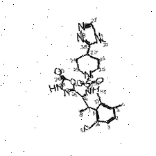 Cc1ccc(F)c([C@@H](C)[C@H](NS(=O)(=O)N2CCC(c3nncn3C)CC2)c2n[nH]c(=O)o2)c1C